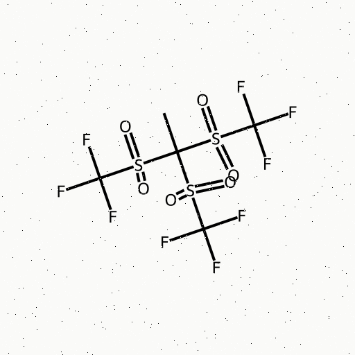 CC(S(=O)(=O)C(F)(F)F)(S(=O)(=O)C(F)(F)F)S(=O)(=O)C(F)(F)F